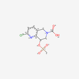 CS(=O)(=O)OC1CN(C(=O)O)Cc2ccc(Cl)nc21